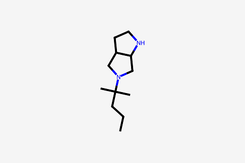 CCCC(C)(C)N1CC2CCNC2C1